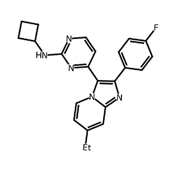 CCc1ccn2c(-c3ccnc(NC4CCC4)n3)c(-c3ccc(F)cc3)nc2c1